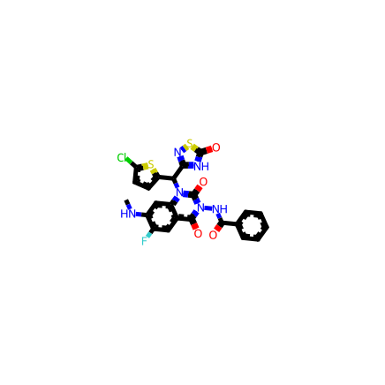 CNc1cc2c(cc1F)c(=O)n(NC(=O)c1ccccc1)c(=O)n2C(c1nsc(=O)[nH]1)c1ccc(Cl)s1